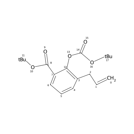 C=CCc1cccc(C(=O)OC(C)(C)C)c1OC(=O)OC(C)(C)C